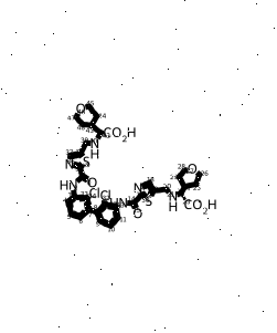 O=C(Nc1cccc(-c2cccc(NC(=O)c3ncc(CN[C@H](C(=O)O)C4CCOCC4)s3)c2Cl)c1Cl)c1ncc(CN[C@H](C(=O)O)C2CCOCC2)s1